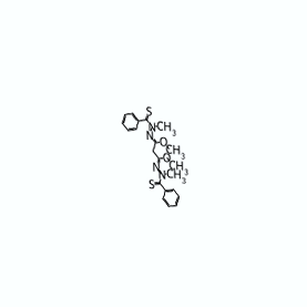 CO/C(C/C(=N/N(C)C(=S)c1ccccc1)OC)=N\N(C)C(=S)c1ccccc1